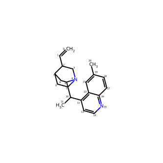 C=CC1CN2CCC1CC2C(C)c1ccnc2ccc(C)cc12